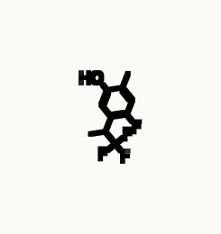 Cc1cc(F)c(C(C)C(F)(F)F)cc1O